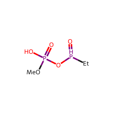 CC[PH](=O)OP(=O)(O)OC